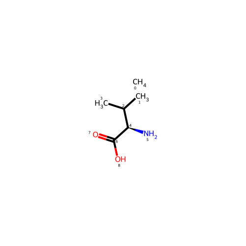 C.CC(C)[C@@H](N)C(=O)O